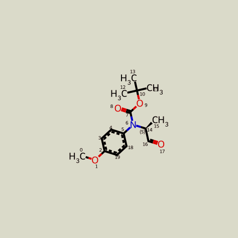 COc1ccc(N(C(=O)OC(C)(C)C)[C@@H](C)C=O)cc1